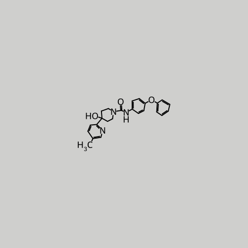 Cc1ccc(C2(O)CCN(C(=O)Nc3ccc(Oc4ccccc4)cc3)CC2)nc1